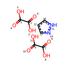 O=C(O)C(=O)O.O=C(O)C(=O)O.c1cn[nH]c1